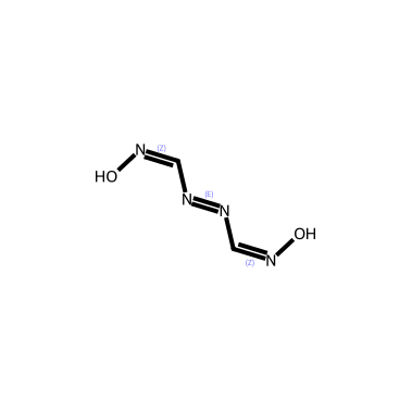 O\N=C/N=N/C=N\O